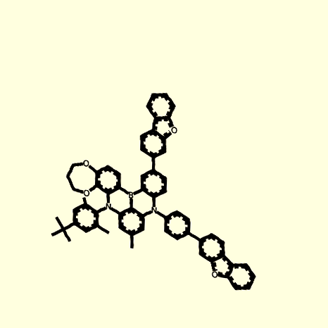 Cc1cc2c3c(c1)N(c1c(C)cc(C(C)(C)C)cc1C)c1c(ccc4c1OCCCO4)B3c1cc(-c3ccc4c(c3)oc3ccccc34)ccc1N2c1ccc(-c2ccc3c(c2)oc2ccccc23)cc1